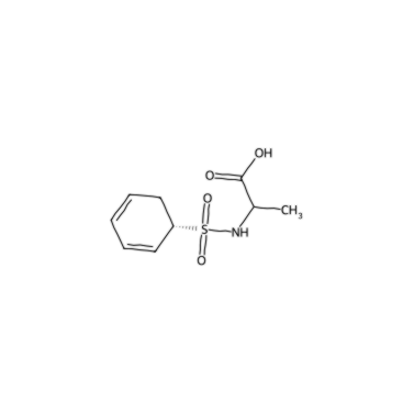 CC(NS(=O)(=O)[C@@H]1C=CC=CC1)C(=O)O